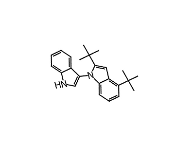 CC(C)(C)c1cccc2c1cc(C(C)(C)C)n2-c1c[nH]c2ccccc12